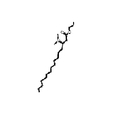 CCCCCCCCCCCCCC(CC(=O)OCCC)N(C)C